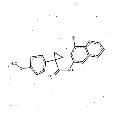 C=C(Nc1cc2ccccc2c(Br)n1)C1(c2ccc(OC)cc2)CC1